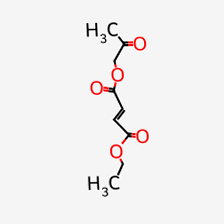 CCOC(=O)/C=C/C(=O)OCC(C)=O